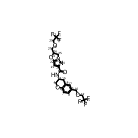 O=C(N[C@H]1COc2ccc(COCC(F)(F)F)cc2C1)c1cc2n(n1)CC(COCC(F)(F)F)O2